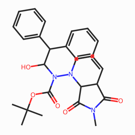 CN1C(=O)C2C=CCN(N(C(=O)OC(C)(C)C)C(O)C(c3ccccc3)c3ccccc3)C2C1=O